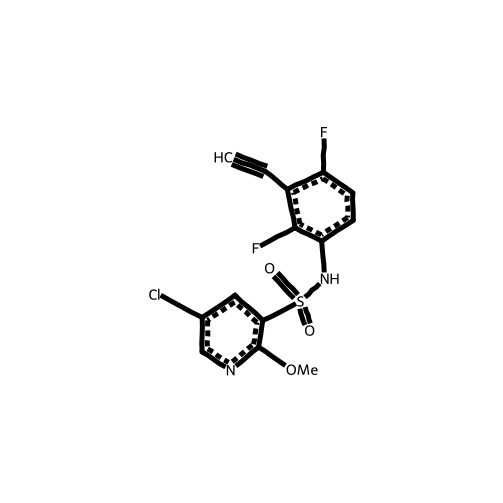 C#Cc1c(F)ccc(NS(=O)(=O)c2cc(Cl)cnc2OC)c1F